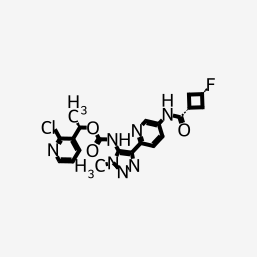 C[C@@H](OC(=O)Nc1c(-c2ccc(NC(=O)[C@H]3C[C@@H](F)C3)cn2)nnn1C)c1cccnc1Cl